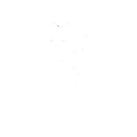 COCCOC(=O)Nc1ccc2c(c1)NCCCCC[C@H](N)c1nc-2c[nH]1